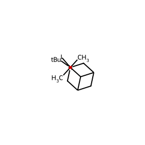 CC(C)(I)C1C2CC1CN(C(C)(C)C)C2